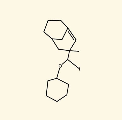 CC1(C(I)OC2CCCCC2)C=C2CCCC(C2)C1